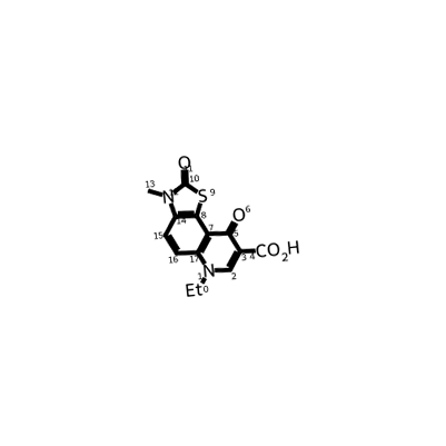 CCn1cc(C(=O)O)c(=O)c2c3sc(=O)n(C)c3ccc21